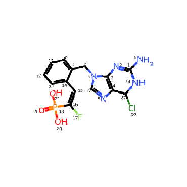 NC1=Nc2c(ncn2Cc2ccccc2C=C(F)P(=O)(O)O)C(Cl)N1